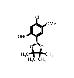 COc1cc(B2OC(C)(C)C(C)(C)O2)c(C=O)cc1Cl